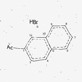 Br.CC(=O)c1ccc2ccccc2c1